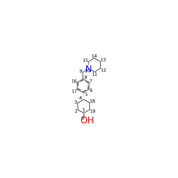 O[C@H]1CC[C@H](c2ccc(CN3CCCCC3)cc2)CC1